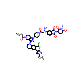 CNC(=O)N1CCc2c(c(N3CCCc4cc(-c5cnn(C)c5)c(C(F)F)cc43)nn2C2CCN(C(=O)CNc3ccc4c(c3)C(=O)N(C3CCC(=O)NC3=O)C4=O)CC2)C1